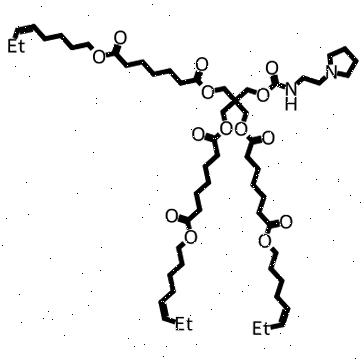 CC/C=C\CCCCOC(=O)CCCCCC(=O)OCC(COC(=O)CCCCCC(=O)OCCCC/C=C\CC)(COC(=O)CCCCCC(=O)OCCCC/C=C\CC)COC(=O)NCCN1CCCC1